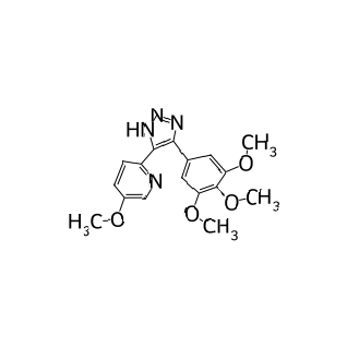 COc1ccc(-c2[nH]nnc2-c2cc(OC)c(OC)c(OC)c2)nc1